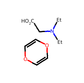 C1=COC=CO1.CCN(CC)CC(=O)O